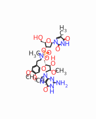 COc1ccc(CCN(C)P(=O)(OC[C@H]2O[C@@H](n3cnc4c(=O)[nH]c(N)nc43)C(OC)[C@H]2O)O[C@@H]2C[C@H](n3cc(C)c(=O)[nH]c3=O)O[C@@H]2CO)cc1OC